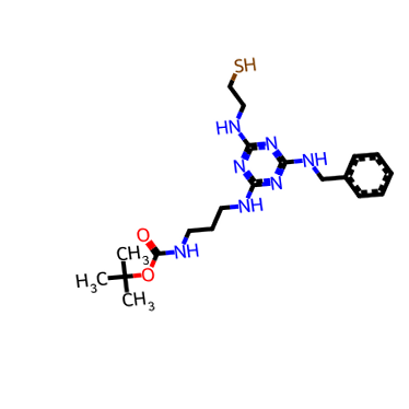 CC(C)(C)OC(=O)NCCCNc1nc(NCCS)nc(NCc2ccccc2)n1